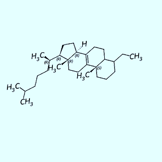 CCC1CCC[C@]2(C)C3=C(CCC12)[C@@H]1CC[C@H]([C@H](C)CCCC(C)C)[C@@]1(C)CC3